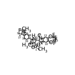 CCS(=O)(=O)c1c(-c2nc3cc4c(cc3n2C)OC(F)(F)C(F)(F)O4)nc(-c2ccc(C3(C(C)(F)F)CC3)cc2)n1C